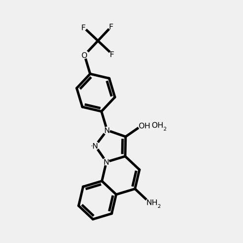 NC1=CC2=C(O)N(c3ccc(OC(F)(F)F)cc3)[N]N2c2ccccc21.O